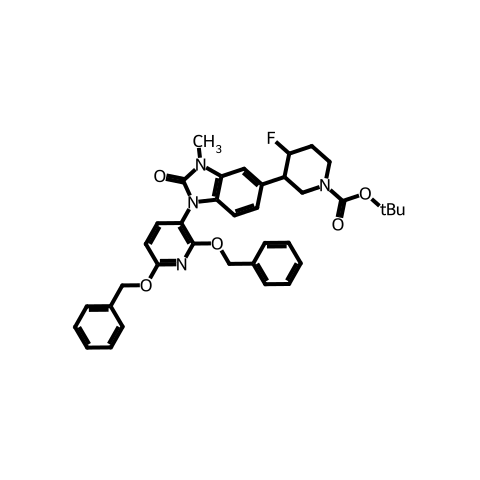 Cn1c(=O)n(-c2ccc(OCc3ccccc3)nc2OCc2ccccc2)c2ccc(C3CN(C(=O)OC(C)(C)C)CCC3F)cc21